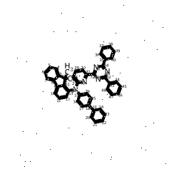 CC1(C)c2ccccc2-c2cccc(N(c3ccc(-c4ccccc4)cc3)c3cccc(-c4nc(-c5ccccc5)nc(-c5ccccc5)n4)n3)c21